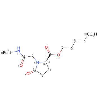 CCCCCNC(=O)CN1C(=O)CC[C@@H]1C(=O)OCCCCC(=O)O